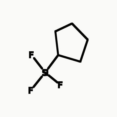 F[Si](F)(F)C1CCCC1